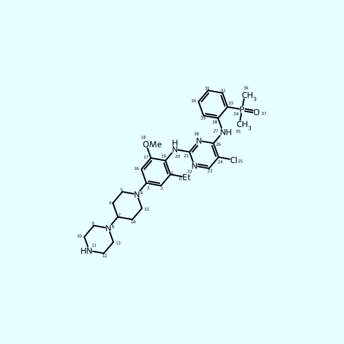 CCc1cc(N2CCC(N3CCNCC3)CC2)cc(OC)c1Nc1ncc(Cl)c(Nc2ccccc2P(C)(C)=O)n1